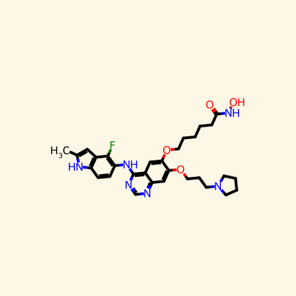 Cc1cc2c(F)c(Nc3ncnc4cc(OCCCN5CCCC5)c(OCCCCCC(=O)NO)cc34)ccc2[nH]1